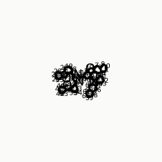 c1ccc2cc3c(cc2c1)oc1cc(-c2nc(-c4cccc5c4oc4ccccc45)cc(-c4cccc5c4oc4ccccc45)n2)cc(-n2c4ccccc4c4cc5ccccc5cc42)c13